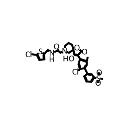 Cc1cc(-c2cccc(S(C)(=O)=O)c2)c(Cl)cc1C1=C(O)C2(CCCN(CC(=O)NCc3ccc(Cl)s3)C2)OC1=O